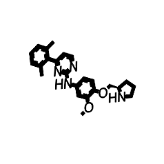 COc1cc(Nc2nccc(-c3c(C)cccc3C)n2)ccc1OC[C@H]1CCCN1